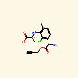 C#CCOC(=O)CN.Cc1cccc(Cl)c1N[C@@H](C)C(=O)O